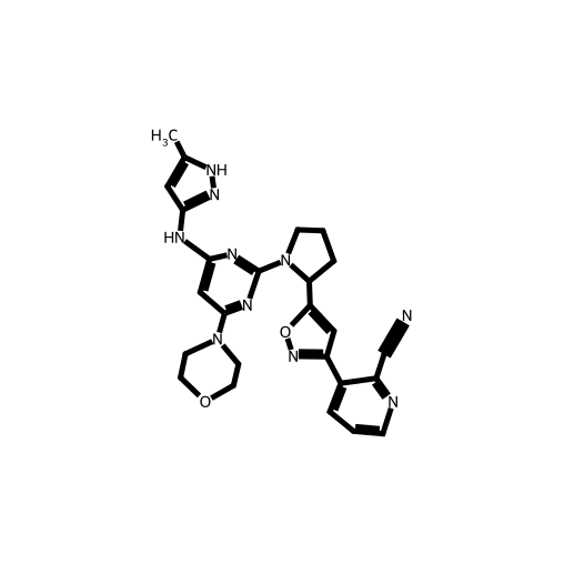 Cc1cc(Nc2cc(N3CCOCC3)nc(N3CCCC3c3cc(-c4cccnc4C#N)no3)n2)n[nH]1